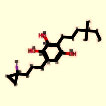 CCC(C)(C)CCCc1c(O)cc(CCCC2(I)CC2)c(O)c1O